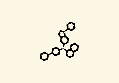 c1ccc(-c2ccc(N(c3ccc4c(ccn4-c4ccccc4)c3)c3cccc4ccccc34)cc2)cc1